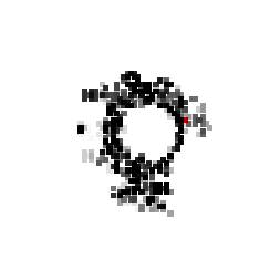 CN[C@]1(C)CCCCCCn2nncc2CCC[C@@](C)(C(=O)N[C@@H](CCC(N)=O)C(=O)C(=O)[C@H](CC(N)=O)NN)NN[C@H](CC(C)C)C(=O)C(=O)[C@H](CC(C)C)NC(=O)C(CCCNC(=N)N)NC(=O)[C@H](Cc2c[nH]c3ccccc23)NC(=O)C(CC(C)C)NC(=O)[C@H](CC(N)=O)NC1=O